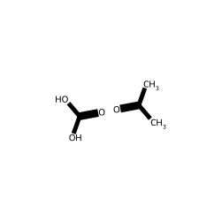 CC(C)=O.O=C(O)O